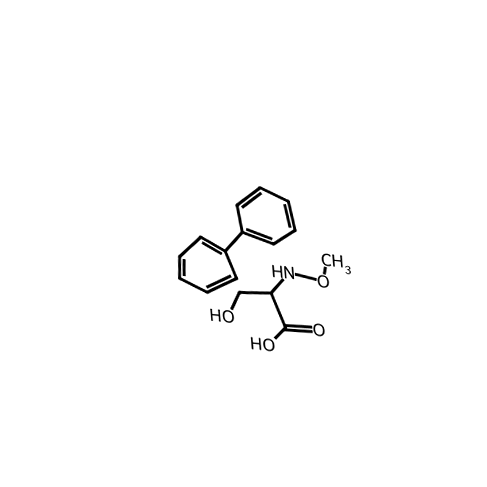 CONC(CO)C(=O)O.c1ccc(-c2ccccc2)cc1